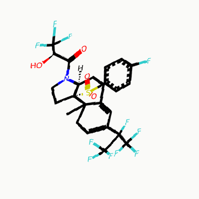 CC12CC=C(C(F)(C(F)(F)F)C(F)(F)F)C=C1CC[C@@H]1N(C(=O)[C@@H](O)C(F)(F)F)CC[C@@]12S(=O)(=O)c1ccc(F)cc1